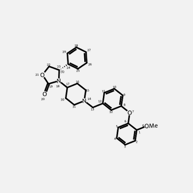 COc1ccccc1Oc1cccc(CN2CCC(N3C(=O)OC[C@@H]3c3ccccc3)CC2)c1